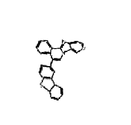 C1=CC2Sc3ccc(-c4cn5c6cnccc6nc5c5ccccc45)cc3C2C=C1